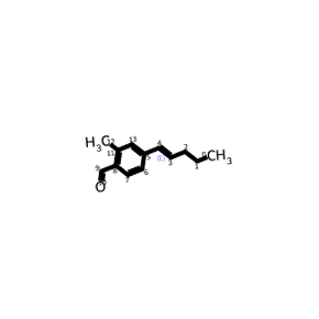 CCC/C=C/c1ccc(C=O)c(C)c1